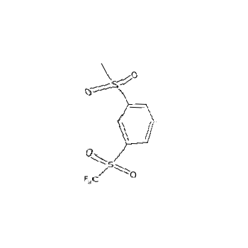 CS(=O)(=O)c1c[c]cc(S(=O)(=O)C(F)(F)F)c1